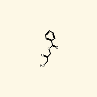 O=C(CO)COC(=O)c1ccccc1